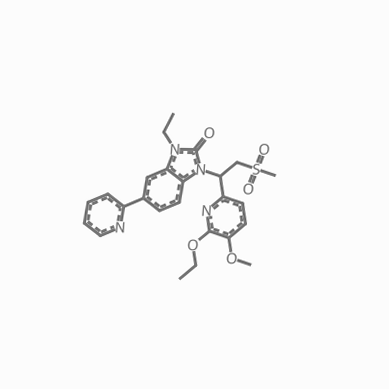 CCOc1nc(C(CS(C)(=O)=O)n2c(=O)n(CC)c3cc(-c4ccccn4)ccc32)ccc1OC